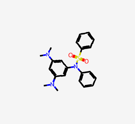 CN(C)c1cc(N(C)C)cc(N(c2ccccc2)S(=O)(=O)c2ccccc2)c1